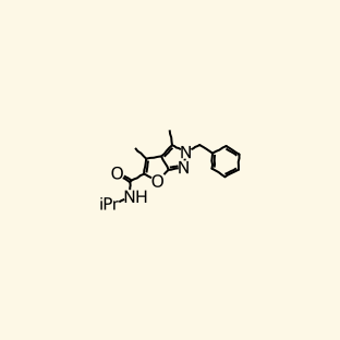 Cc1c(C(=O)NC(C)C)oc2nn(Cc3ccccc3)c(C)c12